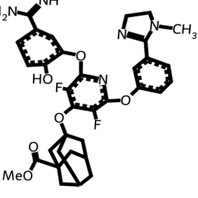 COC(=O)C12CC3CC(CC(Oc4c(F)c(Oc5cccc(C6=NCCN6C)c5)nc(Oc5cc(C(=N)N)ccc5O)c4F)(C3)C1)C2